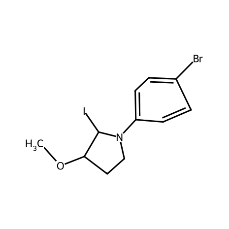 COC1CCN(c2ccc(Br)cc2)C1I